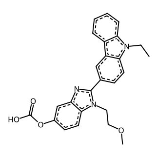 CCn1c2ccccc2c2cc(-c3nc4cc(OC(=O)O)ccc4n3CCOC)ccc21